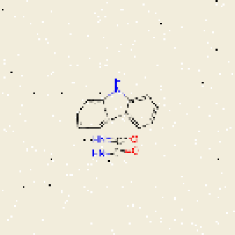 N=C=O.N=C=O.c1ccc2c(c1)[nH]c1ccccc12